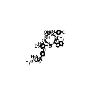 CCc1ccc(CN2C(=O)C[C@@H]([C@@H]3CCc4ccccc43)C(=O)N(C)C[C@H](Cc3ccc(Cl)cc3)N(C)C(=O)[C@H](CO)NC(=O)[C@@H]2C)c(Oc2ccc(-c3cnc(CN(C)C)n3C)cc2)c1